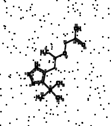 CC(Cc1[nH]nnc1[Si](C)(C)C)OCC(=O)O